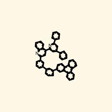 c1ccc(-c2cc(-c3ccccc3)nc(-c3cc(-c4cccc(-c5cccc(-c6ccc7c8ccccc8c8ccccc8c7c6)c5)c4)nc4ccccc34)c2)cc1